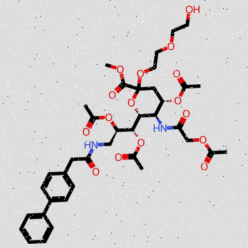 COC(=O)C1(OCCOCCO)C[C@H](OC(C)=O)[C@@H](NC(=O)COC(C)=O)[C@H]([C@H](OC(C)=O)[C@@H](CNC(=O)Cc2ccc(-c3ccccc3)cc2)OC(C)=O)O1